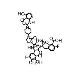 O=C(O)c1c(F)ccc2c1OB(O)C(NC(=O)C(NC(=O)N1CCN(C3CCN(C(=O)Nc4cccc(O)c4Cl)CC3)C1=O)c1cc(F)c(O)c(O)c1Cl)C2